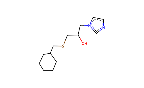 OC(CSCC1CCCCC1)Cn1ccnc1